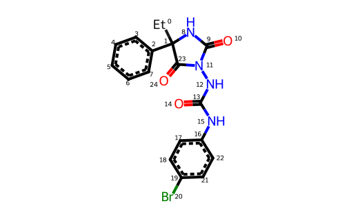 CCC1(c2ccccc2)NC(=O)N(NC(=O)Nc2ccc(Br)cc2)C1=O